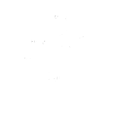 CCOC(CO)OC(=O)C(CCC(=O)O)C(CO)OCC